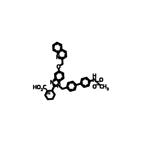 CS(=O)(=O)Nc1ccc(-c2ccc(Cn3c(C4CCCC[C@@H]4C(=O)O)nc4cc(OCc5ccc6ccccc6n5)ccc43)cc2)cc1